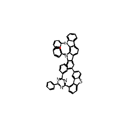 c1ccc(-c2nc(-c3ccccc3)nc(-c3cccc4sc5ccc(-c6ccc7c(c6)c6ccc8c9ccccc9n(-c9ccccc9)c8c6n7-c6ccccc6)cc5c34)n2)cc1